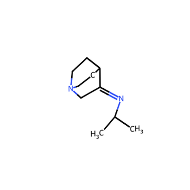 CC(C)/N=C1\CN2CCC1CC2